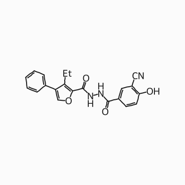 CCc1c(-c2ccccc2)coc1C(=O)NNC(=O)c1ccc(O)c(C#N)c1